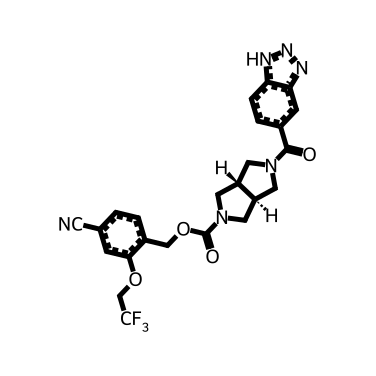 N#Cc1ccc(COC(=O)N2C[C@@H]3CN(C(=O)c4ccc5[nH]nnc5c4)C[C@H]3C2)c(OCC(F)(F)F)c1